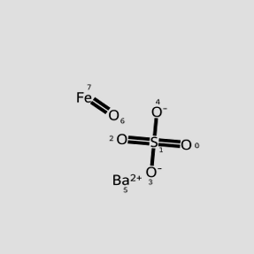 O=S(=O)([O-])[O-].[Ba+2].[O]=[Fe]